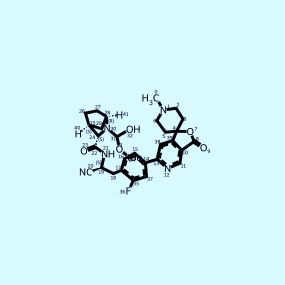 CN1CCC2(CC1)OC(=O)c1cnc(-c3ccc(C[C@@H](C#N)NC(=O)[C@@H]4[C@H]5CC[C@H](C5)N4C(O)OC(C)(C)C)c(F)c3)cc12